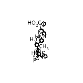 Cc1c(Nc2nccc3cc(CN4CCCCC4C(=O)O)cnc23)cccc1-c1cccc(-c2nc3cc(CN4CCCC4C(=O)O)c(OC(F)F)cc3o2)c1C